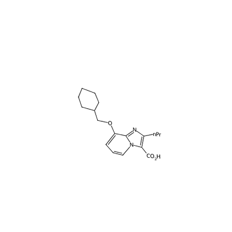 CCCc1nc2c(OCC3CCCCC3)cccn2c1C(=O)O